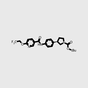 CC(C)(C)OC(=O)N1CC[C@H](c2ccc(NC(=O)c3ccc(OCC(F)(F)F)nc3)cc2)C1